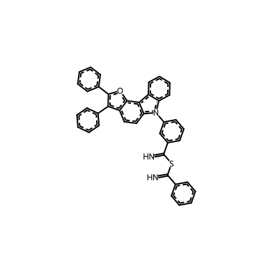 N=C(SC(=N)c1cccc(-n2c3ccccc3c3c4oc(-c5ccccc5)c(-c5ccccc5)c4ccc32)c1)c1ccccc1